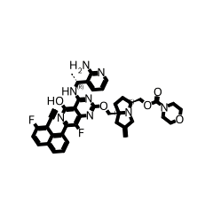 C#Cc1c(F)ccc2cccc(-c3nc(O)c4c(N[C@H](C)c5cccnc5N)nc(OC[C@@]56CC[C@@H](COC(=O)N7CCOCC7)N5CC(=C)C6)nc4c3F)c12